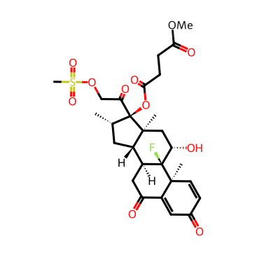 COC(=O)CCC(=O)O[C@]1(C(=O)COS(C)(=O)=O)[C@@H](C)C[C@H]2[C@@H]3CC(=O)C4=CC(=O)C=C[C@]4(C)[C@@]3(F)[C@@H](O)C[C@@]21C